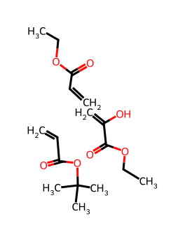 C=C(O)C(=O)OCC.C=CC(=O)OC(C)(C)C.C=CC(=O)OCC